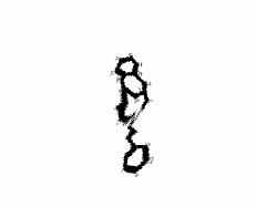 c1ccc(CCN2CCC3CC(Cc4ccccc43)C2)cc1